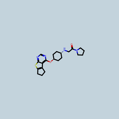 O=C(CN[C@H]1CC[C@H](Oc2ncnc3sc4c(c23)CCC4)CC1)N1CCCC1